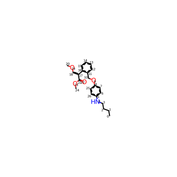 CCCCNc1ccc(OCc2ccccc2/C(=C\OC)C(=O)OC)cc1